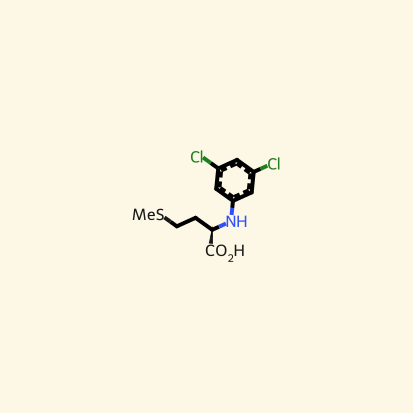 CSCC[C@@H](Nc1cc(Cl)cc(Cl)c1)C(=O)O